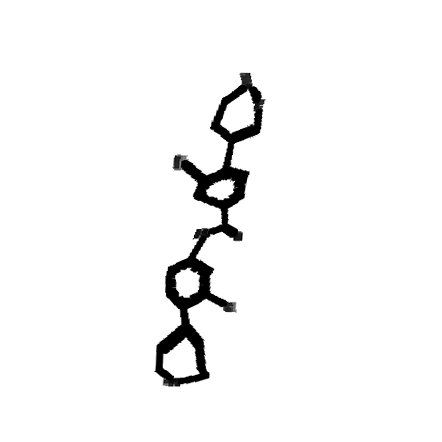 O=C(Nc1ccc(C2=CCNCC2)c(Cl)c1)c1ccc(C2=CCNCC2)c(Cl)c1